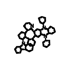 c1ccc(-n2c3ccccc3n(-c3ccccc3)c3cc4c(cc32)c2ccccc2c2c(-n3c5ccccc5c5ccccc53)cccc2c2cccnc42)cc1